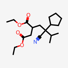 CCOC(=O)CC(CC(C#N)(C(C)C)C1CCCC1)C(=O)OCC